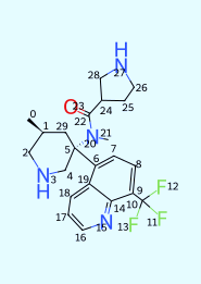 C[C@@H]1CNC[C@@](c2ccc(C(F)(F)F)c3ncccc23)(N(C)C(=O)C2CCNC2)C1